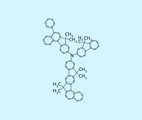 CC1(C)c2ccccc2-c2ccc(N(c3ccc4c(c3)C(C)(C)c3cc5c(cc3-4)C(C)(C)c3ccc4ccccc4c3-5)c3ccc4c(c3)C(C)(C)c3cc(-c5ccccc5)c5ccccc5c3-4)cc21